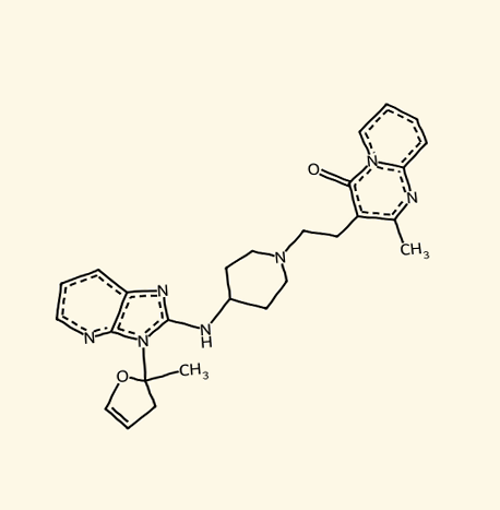 Cc1nc2ccccn2c(=O)c1CCN1CCC(Nc2nc3cccnc3n2C2(C)CC=CO2)CC1